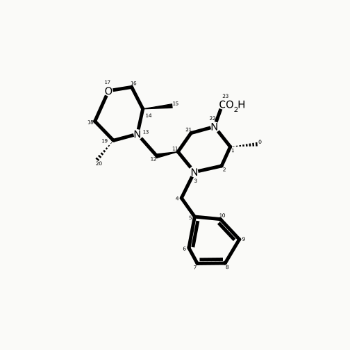 C[C@@H]1CN(Cc2ccccc2)[C@@H](CN2[C@H](C)COC[C@H]2C)CN1C(=O)O